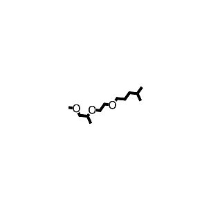 COCC(C)OCCOCCCC(C)C